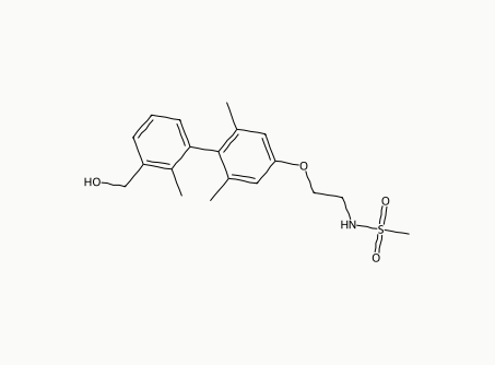 Cc1cc(OCCNS(C)(=O)=O)cc(C)c1-c1cccc(CO)c1C